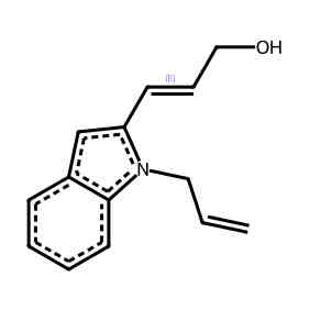 C=CCn1c(/C=C/CO)cc2ccccc21